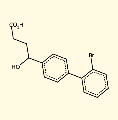 O=C(O)CCC(O)c1ccc(-c2ccccc2Br)cc1